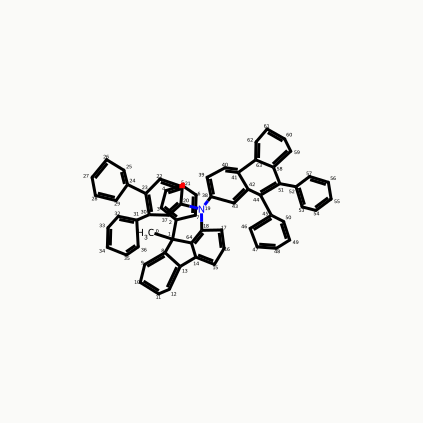 CC1(c2ccccc2)c2ccccc2-c2cccc(N(c3ccc(-c4ccccc4)c(-c4ccccc4)c3)c3ccc4c(c3)c(-c3ccccc3)c(-c3ccccc3)c3ccccc34)c21